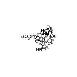 CCOC(=O)COc1ccc(N)c(NC(=O)c2ccccc2C(C)(C)C)c1C(=O)c1ccc2c(c1)C(=N)NC2.O=C(O)C(F)(F)F